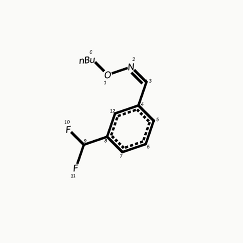 CCCCO/N=[C]\c1cccc(C(F)F)c1